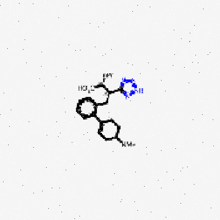 CCC[C@H](C(=O)O)[C@H](Cc1ccccc1C1=CCC(NC)CC1)c1nn[nH]n1